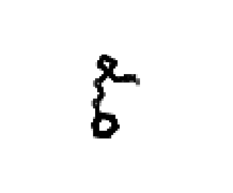 CCC1(OCOc2ccccc2)CCC1